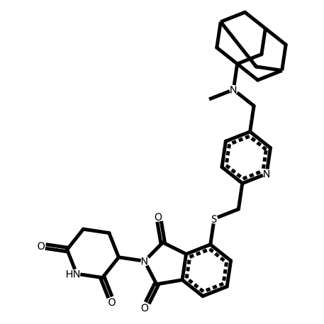 CN(Cc1ccc(CSc2cccc3c2C(=O)N(C2CCC(=O)NC2=O)C3=O)nc1)C12CC3CC(CC(C3)C1)C2